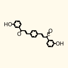 O=C=C(C=Cc1ccc(C=CC(=O)c2cccc(O)c2)cc1)c1cccc(O)c1